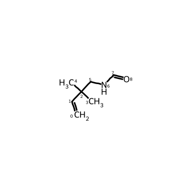 C=CC(C)(C)CN[C]=O